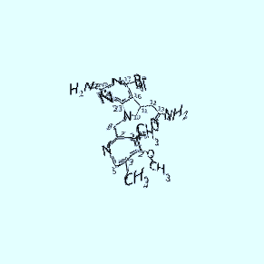 COc1c(C)cnc(CN2CC(CC(N)=O)c3c(Br)nc(N)nc32)c1C